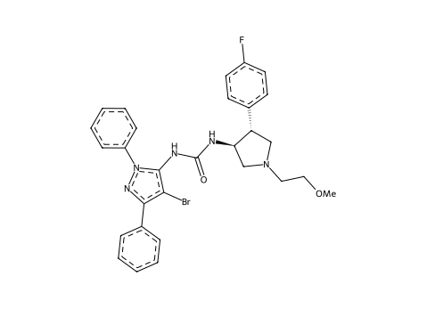 COCCN1C[C@@H](NC(=O)Nc2c(Br)c(-c3ccccc3)nn2-c2ccccc2)[C@H](c2ccc(F)cc2)C1